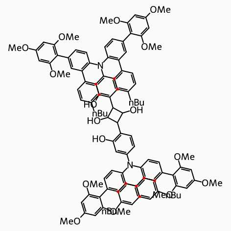 CCCCc1ccc(-c2cc(-c3c(OC)cc(OC)cc3OC)ccc2N(c2ccc(C3C(O)C(c4ccc(N(c5ccc(-c6c(OC)cc(OC)cc6OC)cc5-c5ccc(CCCC)cc5)c5ccc(-c6c(OC)cc(OC)cc6OC)cc5-c5ccc(CCCC)cc5)cc4O)C3O)c(O)c2)c2ccc(-c3c(OC)cc(OC)cc3OC)cc2-c2ccc(CCCC)cc2)cc1